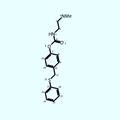 CNCCNC(=O)Oc1ccc(CSc2ccccc2)cc1